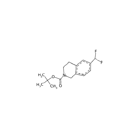 CC(C)(C)OC(=O)N1CCc2cc(C(F)F)ccc2C1